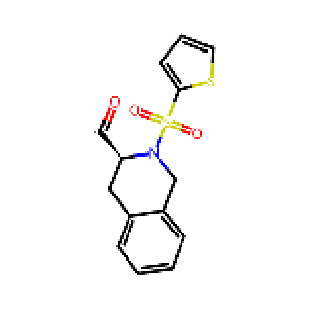 O=[C][C@@H]1Cc2ccccc2CN1S(=O)(=O)c1cccs1